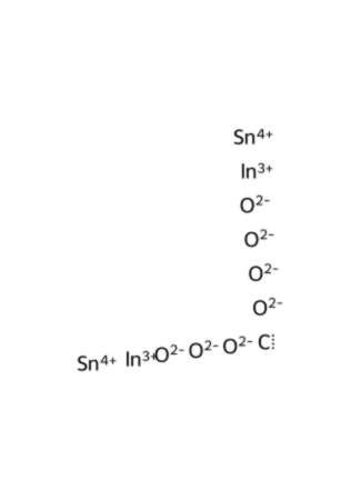 [C].[In+3].[In+3].[O-2].[O-2].[O-2].[O-2].[O-2].[O-2].[O-2].[Sn+4].[Sn+4]